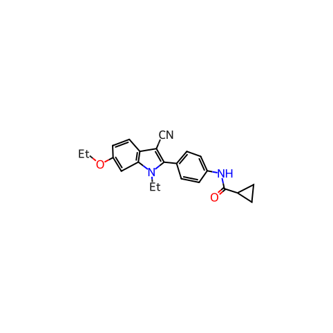 CCOc1ccc2c(C#N)c(-c3ccc(NC(=O)C4CC4)cc3)n(CC)c2c1